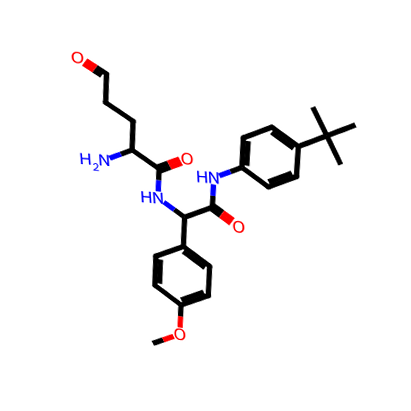 COc1ccc(C(NC(=O)C(N)CCC=O)C(=O)Nc2ccc(C(C)(C)C)cc2)cc1